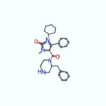 Cn1c(C(=O)N2CCNCC2Cc2ccccc2)c(-c2ccccc2)n(C2CCCCC2)c1=O